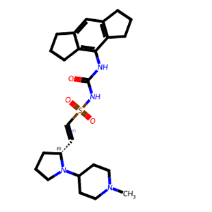 CN1CCC(N2CCC[C@@H]2/C=C/S(=O)(=O)NC(=O)Nc2c3c(cc4c2CCC4)CCC3)CC1